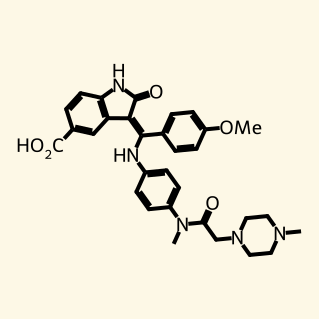 COc1ccc(C(Nc2ccc(N(C)C(=O)CN3CCN(C)CC3)cc2)=C2C(=O)Nc3ccc(C(=O)O)cc32)cc1